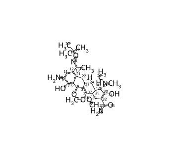 COC1=C2C(=O)c3c(O)c(N)cc(/C(C)=N/OC(C)(C)C)c3C[C@H]2C[C@H]2[C@H](N(C)C)C(O)=C(C(N)=O)C[C@@]12OC